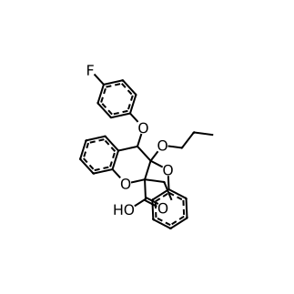 CCCOC1(Oc2ccccc2)C(Oc2ccc(F)cc2)c2ccccc2OC1(CC)C(=O)O